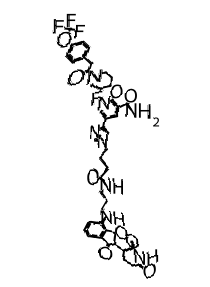 NC(=O)c1cc(-c2cn(CCCC(=O)NCCCNc3cccc4c3C(=O)C(C3CCC(=O)NC3=O)C4=O)cn2)cnc1O[C@@H]1CCN(C(=O)Cc2ccc(OC(F)(F)F)cc2)C[C@H]1F